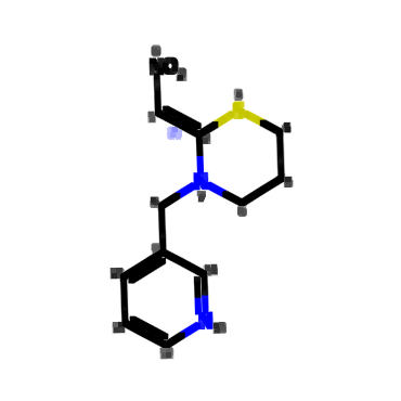 O=[N+]([O-])/C=C1\SCCCN1Cc1cccnc1